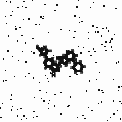 Cn1cc(-c2ccc3[nH]nc(-c4cc5c(N6CCCCC6)ccnc5[nH]4)c3c2)cn1